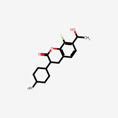 CCCC1CCC(C2Cc3ccc(C(C)O)c(F)c3OC2=O)CC1